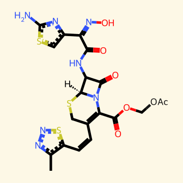 CC(=O)OCOC(=O)C1=C(/C=C\c2snnc2C)CS[C@H]2C(NC(=O)/C(=N\O)c3csc(N)n3)C(=O)N12